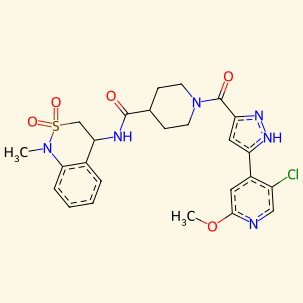 COc1cc(-c2cc(C(=O)N3CCC(C(=O)NC4CS(=O)(=O)N(C)c5ccccc54)CC3)n[nH]2)c(Cl)cn1